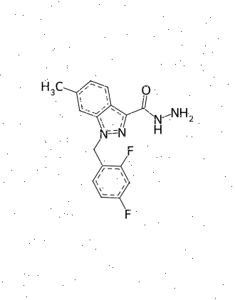 Cc1ccc2c(C(=O)NN)nn(Cc3ccc(F)cc3F)c2c1